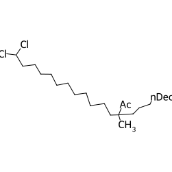 CCCCCCCCCCCCCC(C)(CCCCCCCCCCCC(Cl)Cl)C(C)=O